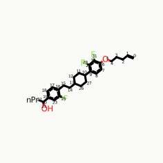 C=CCCCOc1ccc(C2CCC(CCc3ccc(C(O)CCC)cc3F)CC2)c(F)c1F